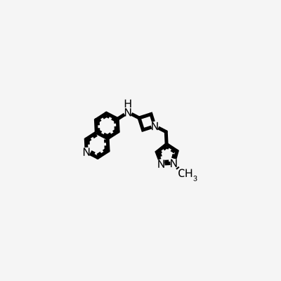 Cn1cc(CN2CC(Nc3ccc4cnccc4c3)C2)cn1